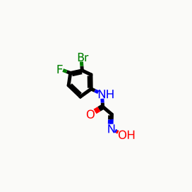 O=C(/C=N/O)Nc1ccc(F)c(Br)c1